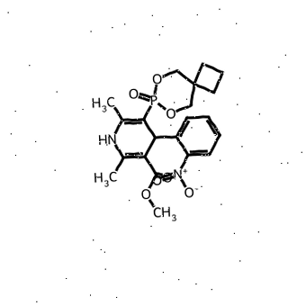 COC(=O)C1=C(C)NC(C)=C(P2(=O)OCC3(CCC3)CO2)C1c1ccccc1[N+](=O)[O-]